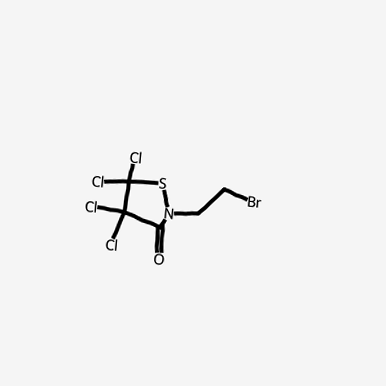 O=C1N(CCBr)SC(Cl)(Cl)C1(Cl)Cl